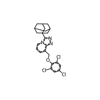 Clc1cc(Cl)c(OCc2cccn3c(C45CC6CC(CC(C6)C4)C5)nnc23)c(Cl)c1